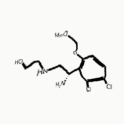 COCOc1ccc(Cl)c(Cl)c1[C@H](N)CNCCO